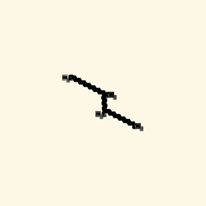 CCCCCCCCCCCCCCC(C)CCCCCC(C)CCCCCCCCCCCC